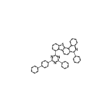 c1ccc(-c2ccc(-c3nc(-c4ccccc4)nc(-c4cccc5sc6c(ccc7c(-c8ccccc8)nc8ccccc8c76)c45)n3)cc2)cc1